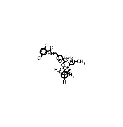 CC(C)C[C@H](NC(=O)C1(C)CC(CNC(=O)c2cc(Cl)ccc2Cl)=NO1)B1O[C@@H]2C[C@@H]3C[C@@H](C3(C)C)[C@]2(C)O1